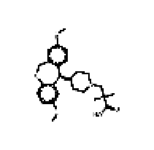 COc1ccc2c(c1)COc1ccc(OC)cc1C2=C1CCN(CC(C)(C)C(=O)O)CC1